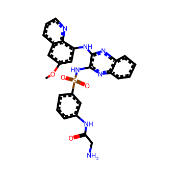 COc1cc(Nc2nc3ccccc3nc2NS(=O)(=O)c2cccc(NC(=O)CN)c2)c2ncccc2c1